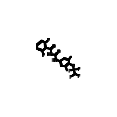 Cc1cc(NC(=O)NC(=O)c2c(F)cccc2F)cc(C)c1OC(F)(F)C(F)F